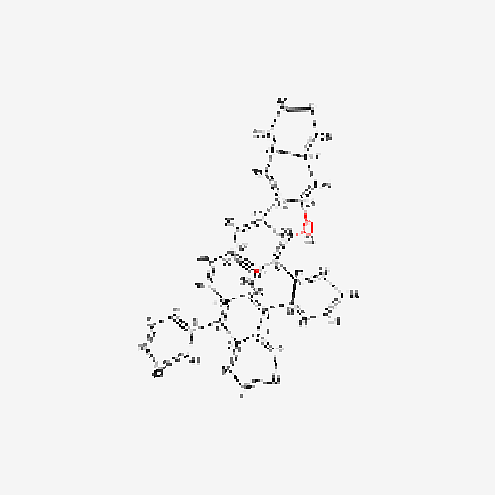 c1ccc(-c2c3ccccc3c(-c3ccccc3-c3cccc4c3oc3cc5ccccc5cc34)c3ccccc23)cc1